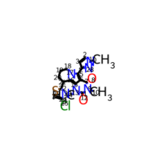 Cn1ccc(-c2c3c(=O)n(C)c(=O)n(C)c3c3n2CCCC3c2nc(Cl)cs2)n1